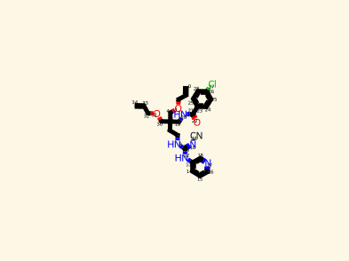 C=CCOCC(CCNC(=NC#N)Nc1cccnc1)(CNC(=O)c1ccc(Cl)cc1)COCC=C